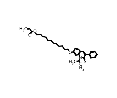 C=CC(=O)OCCCCCCCCCCCCOc1ccc2cc(-c3ccccc3)c(=S)n(C(C)C)c2c1